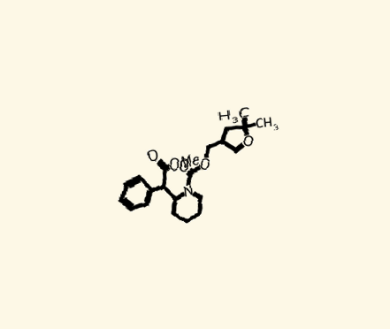 COC(=O)C(c1ccccc1)C1CCCCN1C(=O)OCC1COC(C)(C)C1